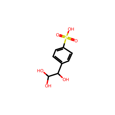 O=S(=O)(O)c1ccc(C(O)C(O)O)cc1